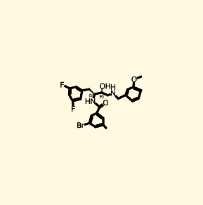 COc1cccc(CNC[C@@H](O)[C@H](Cc2cc(F)cc(F)c2)NC(=O)c2cc(C)cc(Br)c2)c1